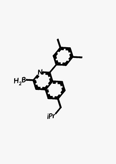 Bc1cc2cc(CC(C)C)ccc2c(-c2cc(C)cc(C)c2)n1